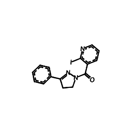 O=C(c1cccnc1I)N1CCC(c2ccccc2)=N1